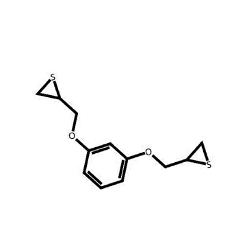 c1cc(OCC2CS2)cc(OCC2CS2)c1